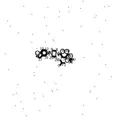 CC(C)C[C@H](C(=O)N1CCN(c2ccc3c(c2)CCO3)C[C@H]1C)[C@@H]1OC(C)(C)OC1=O